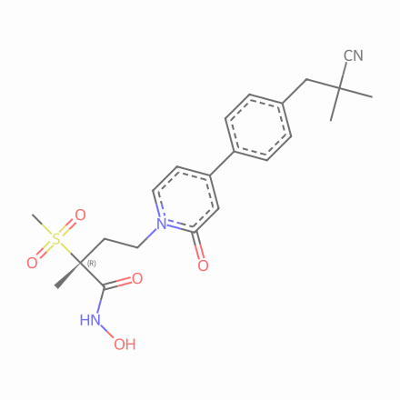 CC(C)(C#N)Cc1ccc(-c2ccn(CC[C@](C)(C(=O)NO)S(C)(=O)=O)c(=O)c2)cc1